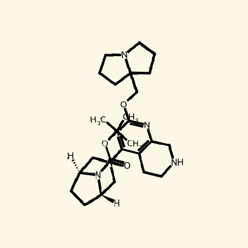 CC(C)(C)OC(=O)N1[C@H]2CC[C@H]1CN(c1nc(OCC34CCCN3CCC4)nc3c1CCNC3)C2